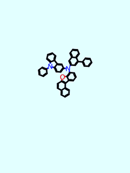 c1ccc(-c2cc(N(c3ccc4c(c3)c3ccccc3n4-c3ccccc3)c3cccc4c3oc3ccc5ccccc5c34)cc3ccccc23)cc1